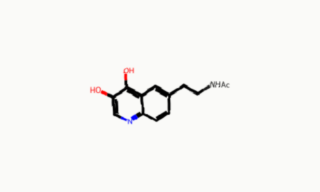 CC(=O)NCCc1ccc2ncc(O)c(O)c2c1